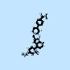 CN(C)C(=O)c1ccc(C2CCN(Cc3cc4c(-c5ccc(N)c[n+]5[O-])ccnc4n3C)CC2)cc1